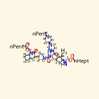 CCCCCCCC(=O)OCn1ncc2cc(C[C@@H](NC(=O)N3CCC(c4cc5ccccc5n(COC(=O)CCCCC)c4=O)CC3)C(=O)N3CCN(C4CCN(CCCCC)CC4)CC3)cc(C)c21